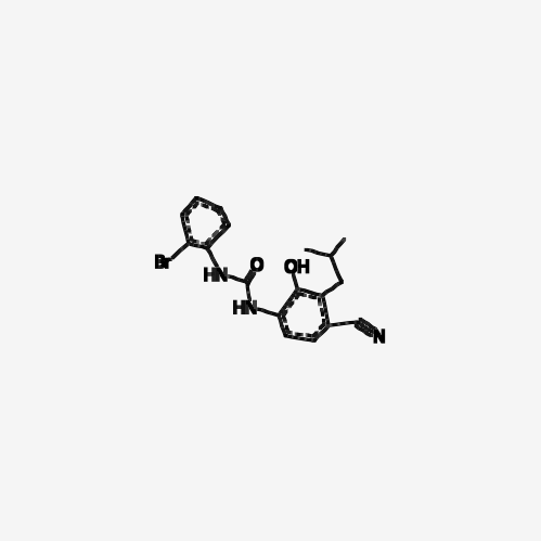 CC(C)Cc1c(C#N)ccc(NC(=O)Nc2ccccc2Br)c1O